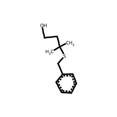 CC(C)(CCO)SCc1ccccc1